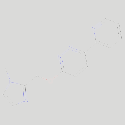 Cn1ccnc1COc1ccc(-c2ccccn2)nn1